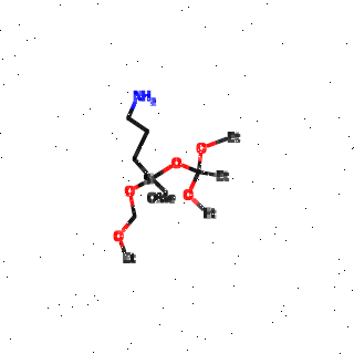 CCOCO[Si](CCCN)(OC)OC(CC)(OCC)OCC